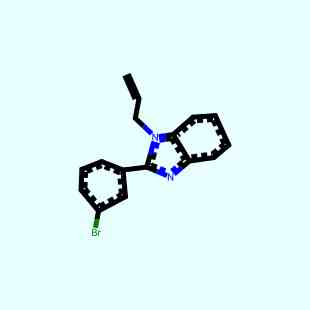 C=CCn1c(-c2cccc(Br)c2)nc2ccccc21